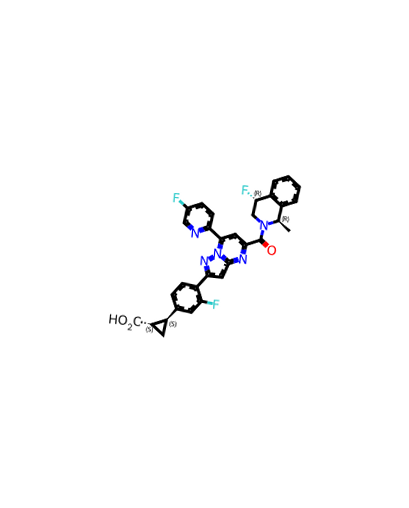 C[C@@H]1c2ccccc2[C@@H](F)CN1C(=O)c1cc(-c2ccc(F)cn2)n2nc(-c3ccc([C@H]4C[C@@H]4C(=O)O)cc3F)cc2n1